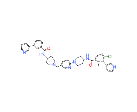 Cc1c(C(=O)NC2CCN(c3ccc(CN4CCC(NC(=O)c5cccc(-c6cccnc6)c5)CC4)cn3)CC2)ccc(Cl)c1-c1cccnc1